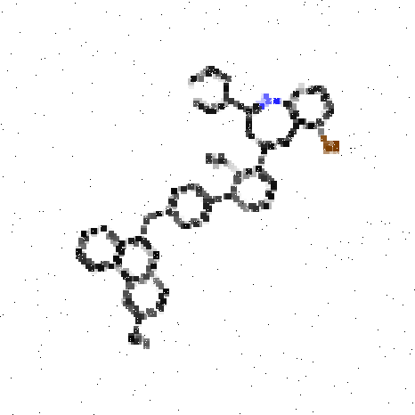 Cc1ccc2cc(Cc3ccc(-c4cccc(C5=Cc6c(S)cccc6N=C(c6ccccc6)C5)c4C)cc3)c3ccccc3c2c1